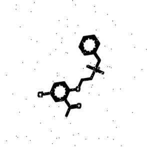 CC(=O)c1cc(Cl)ccc1OCC[N+](C)(C)Cc1ccccc1